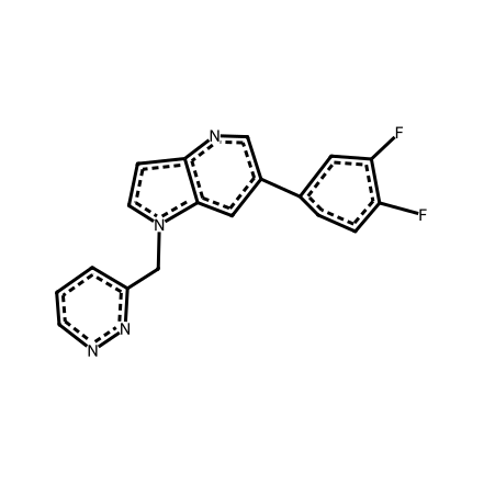 Fc1ccc(-c2cnc3ccn(Cc4cccnn4)c3c2)cc1F